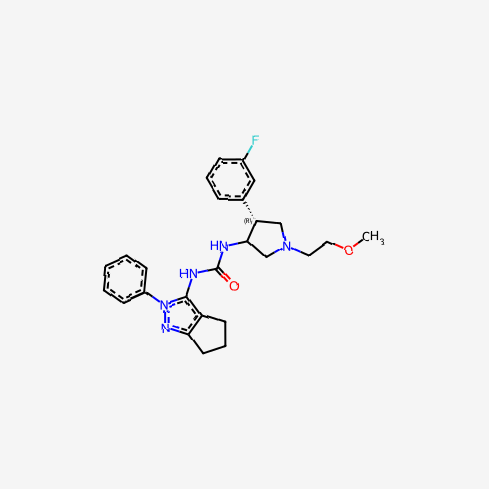 COCCN1CC(NC(=O)Nc2c3c(nn2-c2ccccc2)CCC3)[C@H](c2cccc(F)c2)C1